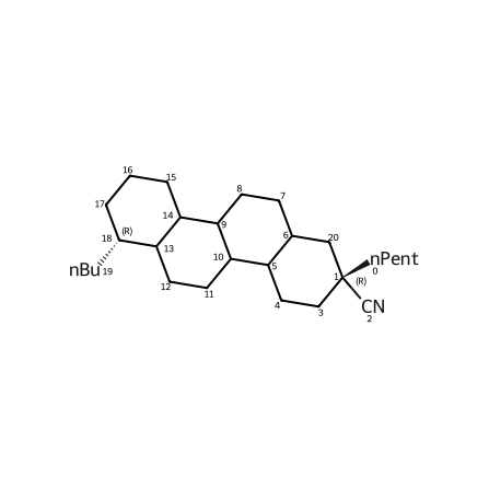 CCCCC[C@@]1(C#N)CCC2C(CCC3C2CCC2C3CCC[C@H]2CCCC)C1